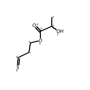 CC(O)C(=O)OCCC=S